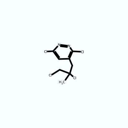 CC(Cl)(CCl)Cc1cc(Cl)nnc1Cl